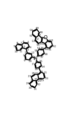 c1cc(-c2cccc3ccccc23)cc(N(c2ccc(-c3cccc4c3ccc3ccccc34)cc2)c2ccc(-c3cccc4oc5c6ccccc6ccc5c34)cc2)c1